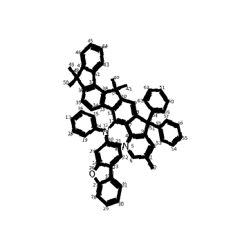 CC1=CC2=C(NC1)c1c(cc3c(c1N(c1ccccc1)c1ccc4c(c1)oc1ccccc14)-c1ccc4c(c1C3(C)C)-c1ccccc1C4(C)C)C2(c1ccccc1)c1ccccc1